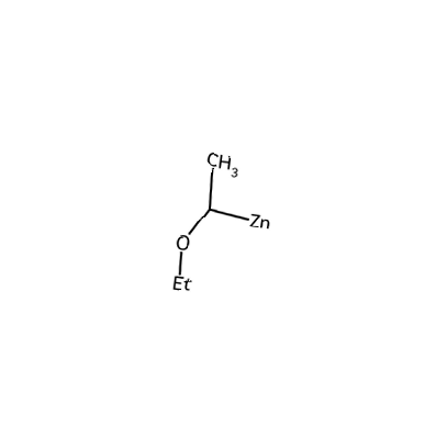 CCO[CH](C)[Zn]